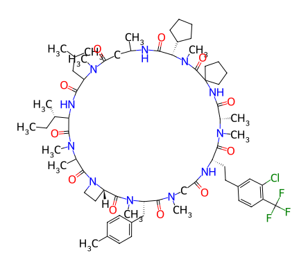 CC[C@H](C)C1NC(=O)C(CC(C)C)N(C)C(=O)CC(C)NC(=O)[C@H](C2CCCC2)N(C)C(=O)C2(CCCC2)NC(=O)[C@H](C)N(C)C(=O)[C@H](CCc2ccc(C(F)(F)F)c(Cl)c2)NC(=O)CN(C)C(=O)[C@H](Cc2ccc(C)cc2)N(C)C(=O)[C@@H]2CCN2C(=O)C(C)N(C)C1=O